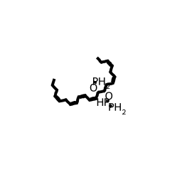 CC/C=C\C/C=C\CC(OPP)C(\C=C/C=C\C=C/C/C=C\CCC)OP